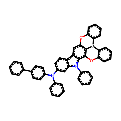 c1ccc(-c2ccc(N(c3ccccc3)c3ccc4c5cc6c7c(c5n(-c5ccccc5)c4c3)Oc3ccccc3B7c3ccccc3O6)cc2)cc1